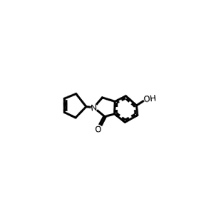 O=C1c2ccc(O)cc2CN1C1CC=CC1